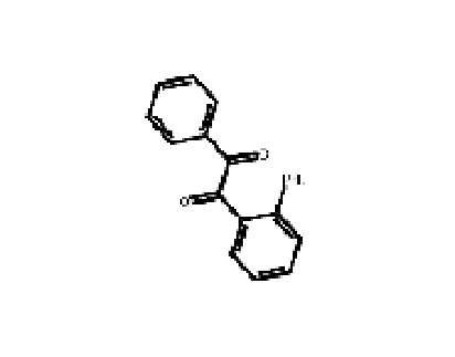 O=C(C(=O)c1ccccc1P)c1ccccc1